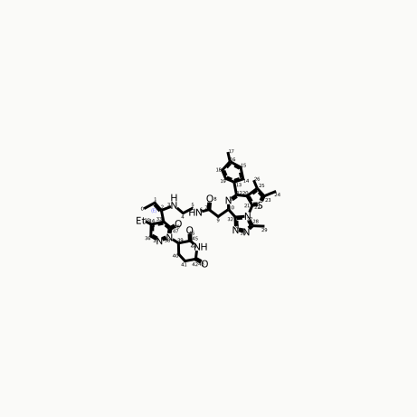 C/C=C(/NCCNC(=O)CC1N=C(c2ccc(C)cc2)c2c(sc(C)c2C)-n2c(C)nnc21)c1c(CC)cnn(C2CCC(=O)NC2=O)c1=O